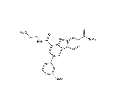 CNC(=O)c1ccc2c(c1)[nH]c1c(C(=O)NCCOC)cc(-c3cccc(OC)c3)cc12